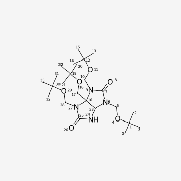 CC(C)(C)OCN1C(=O)N(COC(C)(C)C)C2(COC(C)(C)C)C1NC(=O)N2COC(C)(C)C